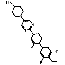 CC1CCC(c2cnc(C3C=C(F)C(C4C=C(F)C(CF)=C(F)C4)CC3)nc2)CC1